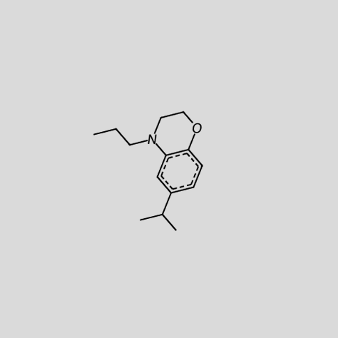 CCCN1CCOc2ccc(C(C)C)cc21